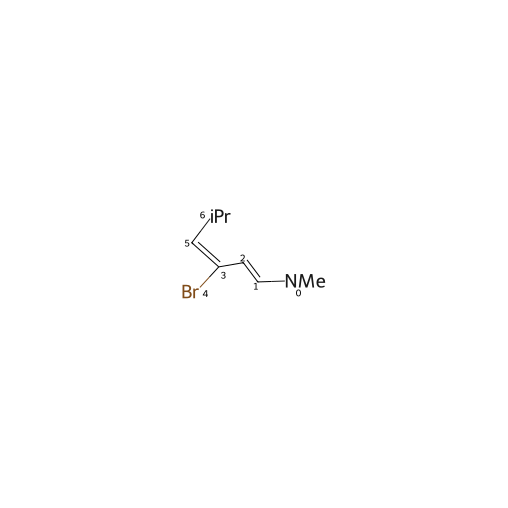 CN/C=C/C(Br)=C\C(C)C